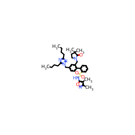 CCCCc1nc(CCCC)n(Cc2ccc(-c3ccccc3S(=O)(=O)Nc3onc(C)c3C)c(CN3CCC(C)(C)C3=O)c2)n1